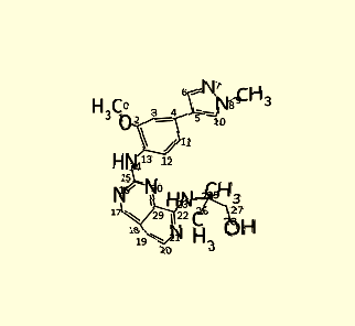 COc1cc(-c2cnn(C)c2)ccc1Nc1ncc2ccnc(NC(C)(C)CO)c2n1